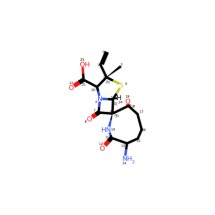 C=C[C@]1(C)S[C@@H]2N(C(=O)[C@]23NC(=O)C(N)CCCC3=O)C1C(=O)O